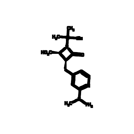 CN(P)c1cc(C[C@H]2C(=O)N([Si](C)(C)C(C)(C)C)[C@@H]2C(=O)O)ccn1